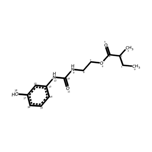 CCC(C)C(=O)OCCNC(=O)Nc1cccc(O)c1